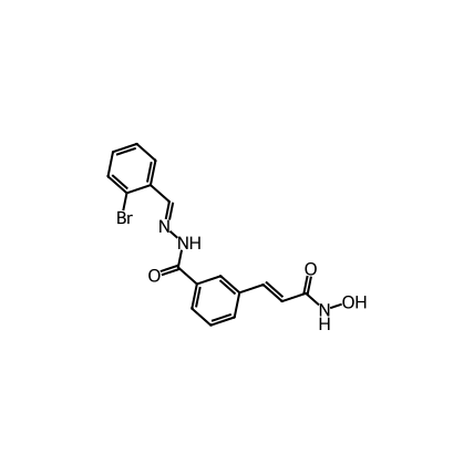 O=C(/C=C/c1cccc(C(=O)N/N=C/c2ccccc2Br)c1)NO